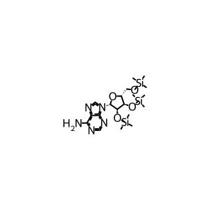 C[Si](C)(C)OC[C@H]1O[C@@H](n2cnc3c(N)ncnc32)[C@H](O[Si](C)(C)C)[C@@H]1O[Si](C)(C)C